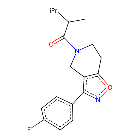 CC(C)C(C)C(=O)N1CCc2onc(-c3ccc(F)cc3)c2C1